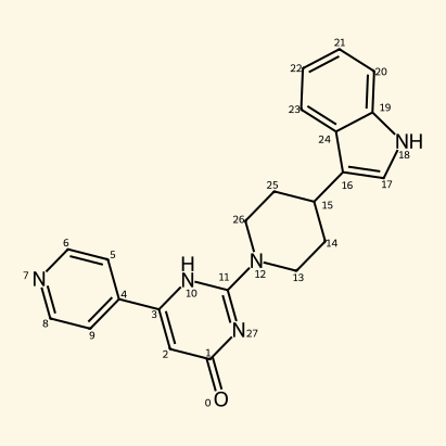 O=c1cc(-c2ccncc2)[nH]c(N2CCC(c3c[nH]c4ccccc34)CC2)n1